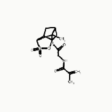 C=C(C)C(=O)NCC(=O)OC1(C)C2CC3OS(=O)(=O)C1C3C2